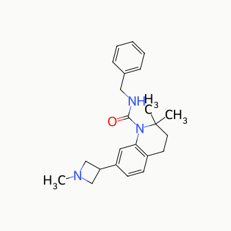 CN1CC(c2ccc3c(c2)N(C(=O)NCc2ccccc2)C(C)(C)CC3)C1